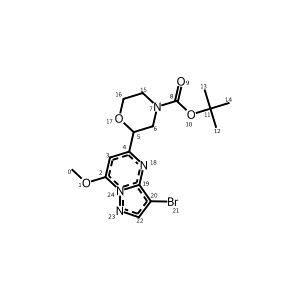 COc1cc(C2CN(C(=O)OC(C)(C)C)CCO2)nc2c(Br)cnn12